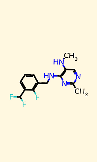 CNc1cnc(C)nc1NCc1cccc(C(F)F)c1F